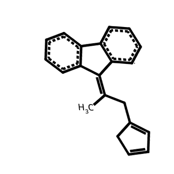 C/C(CC1=CC=CC1)=C1/c2[c]cccc2-c2ccccc21